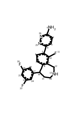 Nc1ccc(-c2ccc3c(c2F)CNCCC3c2cc(F)cc(F)c2)nn1